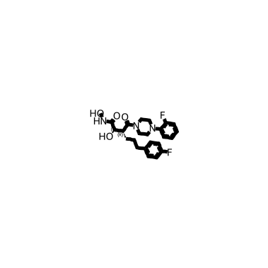 O=C(NO)[C@@H](O)[C@@H](CCCc1ccc(F)cc1)C(=O)N1CCN(c2ccccc2F)CC1